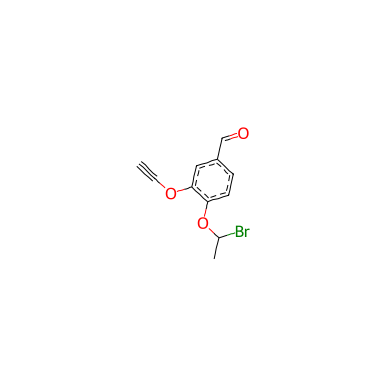 C#COc1cc(C=O)ccc1OC(C)Br